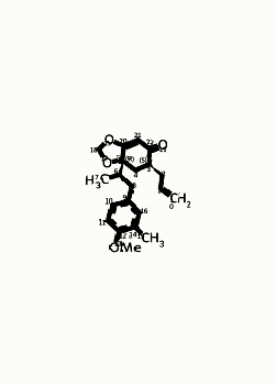 C=CC[C@H]1C[C@]2(C(C)Cc3ccc(OC)c(C)c3)OCOC2=CC1=O